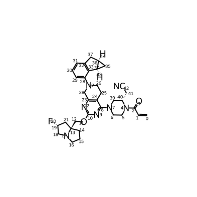 C=CC(=O)N1CCN(c2nc(OC[C@@]34CCCN3C[C@H](F)C4)nc3c2CCN(c2cccc4c2[C@@H]2C[C@@H]2C4)C3)C[C@@H]1CC#N